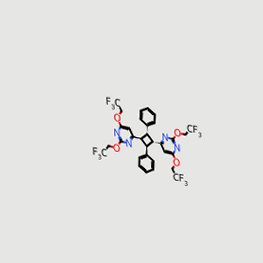 FC(F)(F)COc1cc([C@H]2[C@H](c3ccccc3)[C@H](c3cc(OCC(F)(F)F)nc(OCC(F)(F)F)n3)[C@H]2c2ccccc2)nc(OCC(F)(F)F)n1